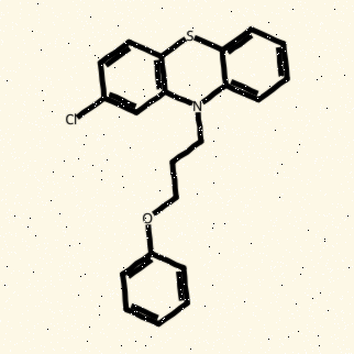 Clc1ccc2c(c1)N(CCCOc1ccccc1)c1ccccc1S2